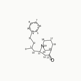 CC(CCc1ccccc1)CC1CC(=O)C2CCCN1C2